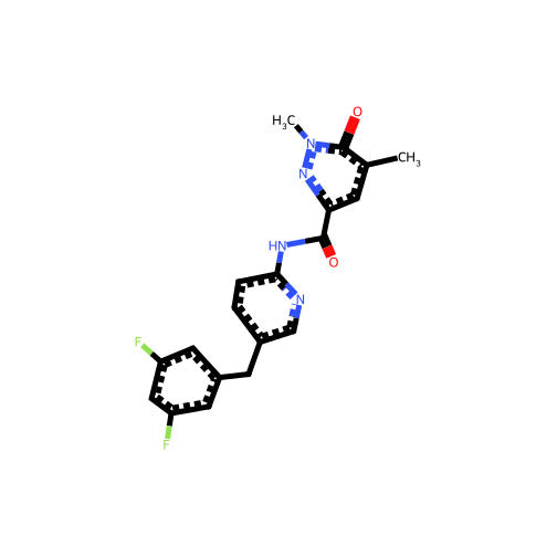 Cc1cc(C(=O)Nc2ccc(Cc3cc(F)cc(F)c3)cn2)nn(C)c1=O